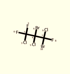 FC(F)(Cl)C(Cl)(Br)C(F)(Cl)Br